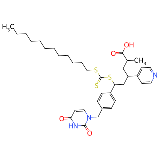 CCCCCCCCCCCCSC(=S)SC(CC(CC(C)C(=O)O)c1ccncc1)c1ccc(Cn2ccc(=O)[nH]c2=O)cc1